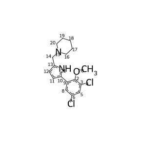 COc1c(Cl)cc(Cl)cc1-c1ccc(CN2CCCCC2)[nH]1